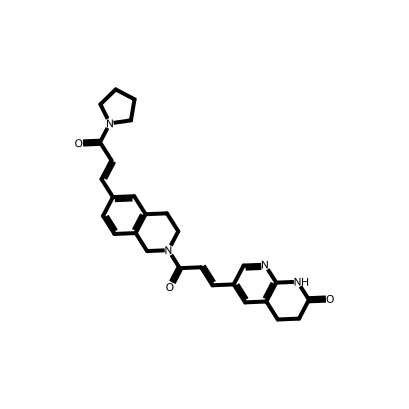 O=C1CCc2cc(C=CC(=O)N3CCc4cc(C=CC(=O)N5CCCC5)ccc4C3)cnc2N1